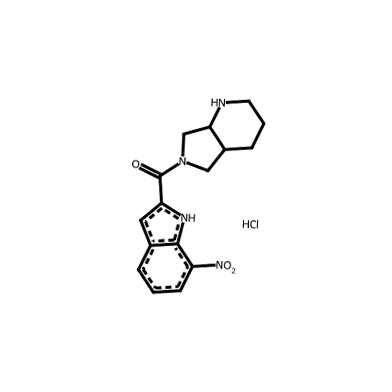 Cl.O=C(c1cc2cccc([N+](=O)[O-])c2[nH]1)N1CC2CCCNC2C1